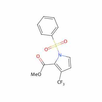 COC(=O)c1c(C(F)(F)F)ccn1S(=O)(=O)c1ccccc1